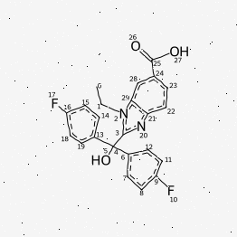 CCn1c(C(O)(c2ccc(F)cc2)c2ccc(F)cc2)nc2ccc(C(=O)O)cc21